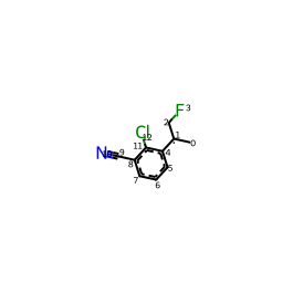 C[C](CF)c1cccc(C#N)c1Cl